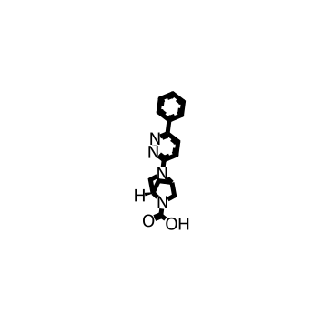 O=C(O)N1CC2C[C@H]1CN2c1ccc(-c2ccccc2)nn1